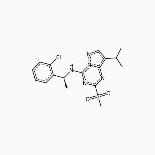 CC(C)c1cnn2c(N[C@@H](C)c3ccccc3Cl)nc(S(C)(=O)=O)nc12